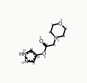 O=C(CN1CCOCC1)Oc1cn[nH]c1